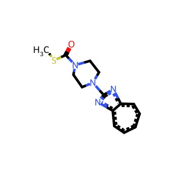 CSC(=O)N1CCN(c2nc3cccccc-3n2)CC1